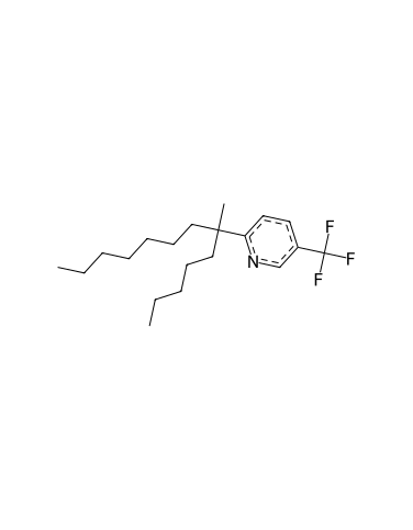 CCCCCCCC(C)(CCCCC)c1ccc(C(F)(F)F)cn1